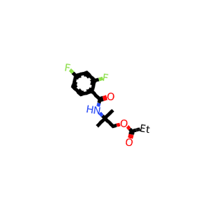 CCC(=O)OCC(C)(C)NC(=O)c1ccc(F)cc1F